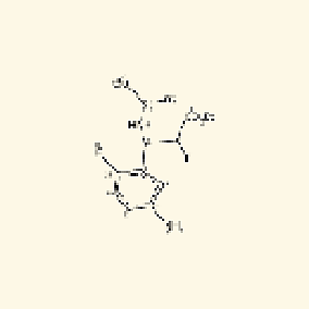 CCOC(=O)C(F)C(N[S+]([O-])C(C)(C)C)c1cc(N)ccc1F